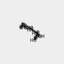 O=C(CCN1CCC(OC(=O)Nc2ccccc2-c2ccccc2)CC1)NCCCCCNC(=O)[C@@H]1C[C@@H](O)CN1Cc1ccc(O)cc1